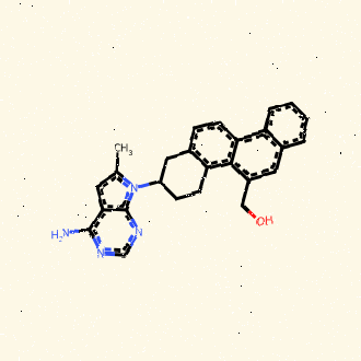 Cc1cc2c(N)ncnc2n1C1CCc2c(ccc3c2c(CO)cc2ccccc23)C1